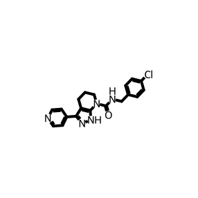 O=C(NCc1ccc(Cl)cc1)N1CCCc2c(-c3ccncc3)n[nH]c21